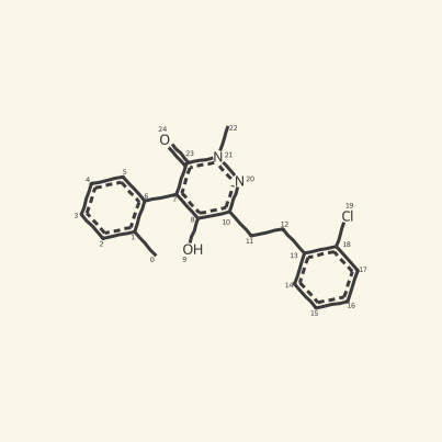 Cc1ccccc1-c1c(O)c(CCc2ccccc2Cl)nn(C)c1=O